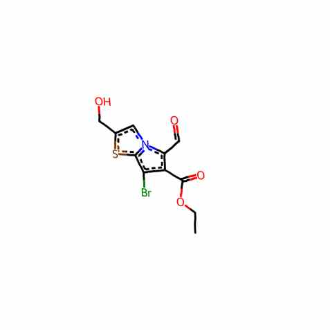 CCOC(=O)c1c(Br)c2sc(CO)cn2c1C=O